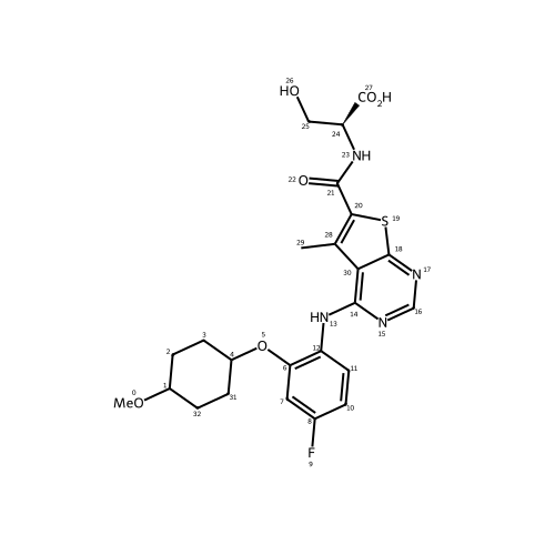 COC1CCC(Oc2cc(F)ccc2Nc2ncnc3sc(C(=O)N[C@@H](CO)C(=O)O)c(C)c23)CC1